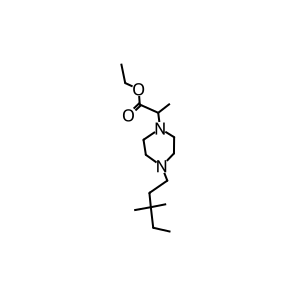 CCOC(=O)C(C)N1CCN(CCC(C)(C)CC)CC1